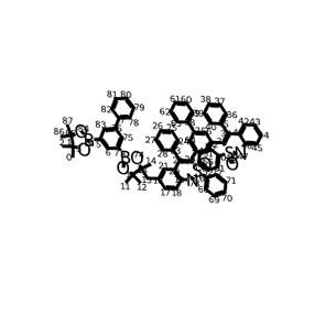 CC1(C)OB(c2cc(B3OC(C)(C)C(C)(Cc4ccc5c(c4)C(c4ccccc4)=C(c4cc(C6=C(c7ccccc7)c7ccccc7N=S6(=O)c6ccccc6)cc(-c6ccccc6)c4)S(=O)(c4ccccc4)=N5)O3)cc(-c3ccccc3)c2)OC1(C)C